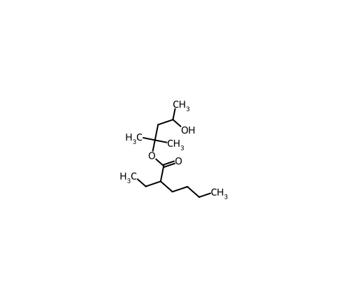 CCCCC(CC)C(=O)OC(C)(C)CC(C)O